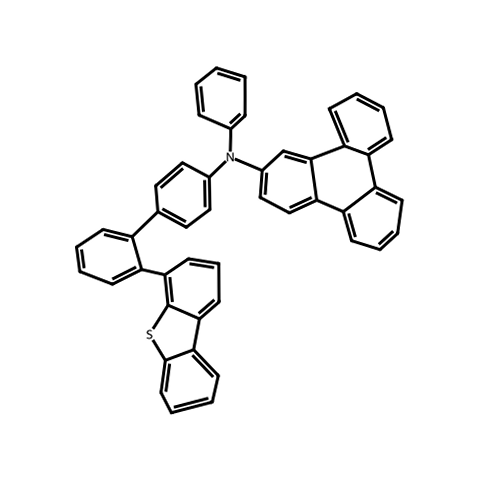 c1ccc(N(c2ccc(-c3ccccc3-c3cccc4c3sc3ccccc34)cc2)c2ccc3c4ccccc4c4ccccc4c3c2)cc1